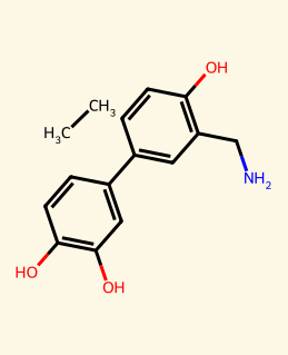 CC.NCc1cc(-c2ccc(O)c(O)c2)ccc1O